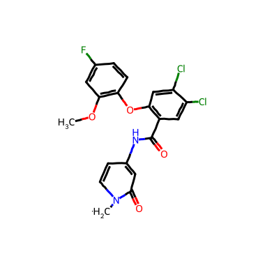 [CH2]n1ccc(NC(=O)c2cc(Cl)c(Cl)cc2Oc2ccc(F)cc2OC)cc1=O